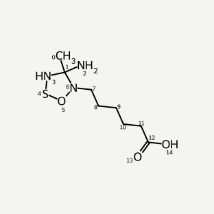 CC1(N)NSON1CCCCCC(=O)O